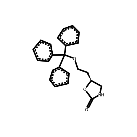 O=C1NC[C@H](CCOC(c2ccccc2)(c2ccccc2)c2ccccc2)O1